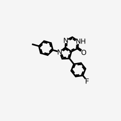 Cc1ccc(-n2cc(-c3ccc(F)cc3)c3c(=O)[nH]cnc32)cc1